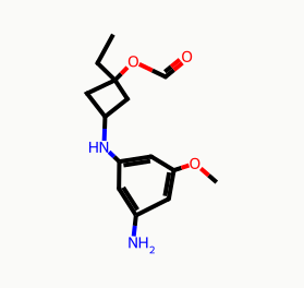 CCC1(OC=O)CC(Nc2cc(N)cc(OC)c2)C1